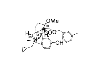 CO[C@]12CC[C@@]3(C[C@@H]1COCc1cccc(C)c1)[C@H]1Cc4ccc(O)c5c4[C@@]3(CC[N@+]1(C)CC1CC1)[C@H]2O5